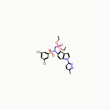 CCOP(=O)(CN(c1ccc2c(ccn2-c2ccc(C)nn2)c1)S(=O)(=O)c1cc(Cl)cc(Cl)c1)OCC